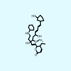 CCC1C=CC(=O)OC1C=CC(O)(CCNC1CCCCC1)C(CC(O)C=CC=CC1CCCC(O)C1)OP